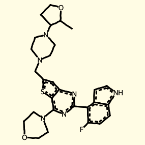 CC1OCCC1N1CCN(Cc2cc3nc(-c4c(F)ccc5[nH]ccc45)nc(N4CCOCC4)c3s2)CC1